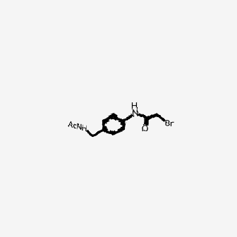 CC(=O)NCc1ccc(NC(=O)CBr)cc1